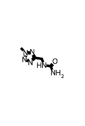 Cn1nnc(CNC(N)=O)n1